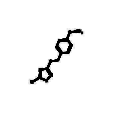 COc1ccc(CSc2nsc(Cl)n2)cc1